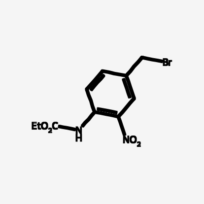 CCOC(=O)Nc1ccc(CBr)cc1[N+](=O)[O-]